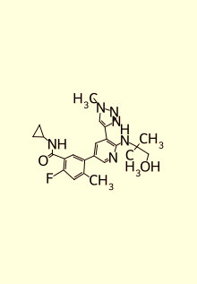 Cc1cc(F)c(C(=O)NC2CC2)cc1-c1cnc(NC(C)(C)CO)c(-c2cn(C)nn2)c1